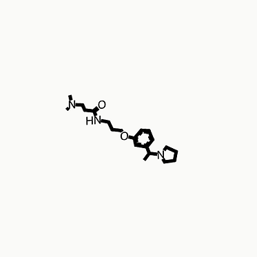 CC(c1cccc(OCCCNC(=O)CCN(C)C)c1)N1CCCC1